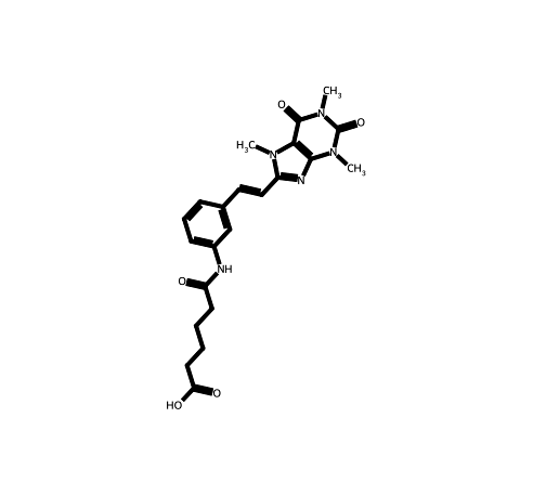 Cn1c(=O)c2c(nc(C=Cc3cccc(NC(=O)CCCCC(=O)O)c3)n2C)n(C)c1=O